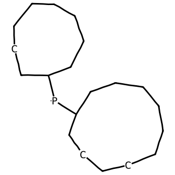 C1CCCCCC([P]C2CCCCCCCC2)CCCC1